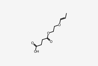 CC=COCCOC(=O)CCC(=O)O